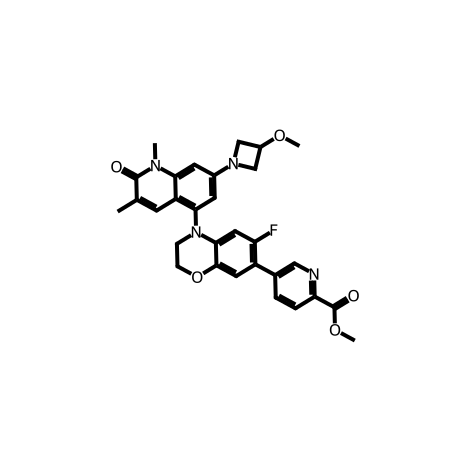 COC(=O)c1ccc(-c2cc3c(cc2F)N(c2cc(N4CC(OC)C4)cc4c2cc(C)c(=O)n4C)CCO3)cn1